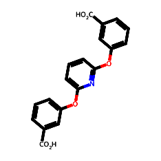 O=C(O)c1cccc(Oc2cccc(Oc3cccc(C(=O)O)c3)n2)c1